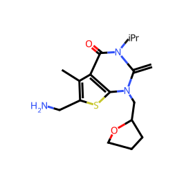 C=C1N(CC2CCCO2)c2sc(CN)c(C)c2C(=O)N1C(C)C